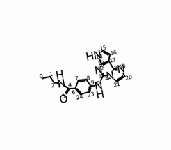 CCCNC(=O)c1ccc(Nc2nc3[nH]ccc3c3nccn23)cc1